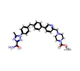 Cc1nc(C(N)=O)nn1-c1ccc(Cc2ccc(-c3ccc(CN4CCN(C(=O)OC(C)(C)C)CC4)nc3)cc2)cc1